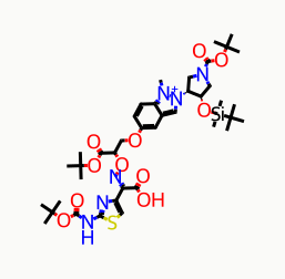 C[n+]1c2ccc(OCC(O/N=C(\C(=O)O)c3csc(NC(=O)OC(C)(C)C)n3)C(=O)OC(C)(C)C)cc2cn1[C@@H]1CN(C(=O)OC(C)(C)C)C[C@@H]1O[Si](C)(C)C(C)(C)C